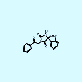 CN1C(=O)N(CC(=O)c2ccccc2)C(=O)C1(C)c1ccccc1F